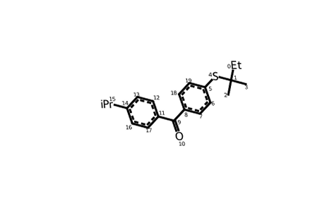 CCC(C)(C)Sc1ccc(C(=O)c2ccc(C(C)C)cc2)cc1